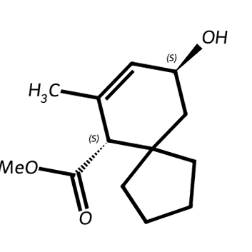 COC(=O)[C@@H]1C(C)=C[C@@H](O)CC12CCCC2